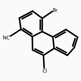 N#Cc1ccc(Br)c2c1cc(Cl)c1ccccc12